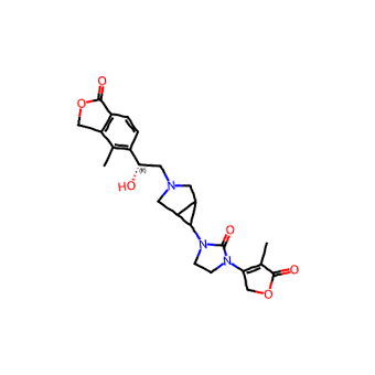 CC1=C(N2CCN(C3C4CN(C[C@H](O)c5ccc6c(c5C)COC6=O)CC43)C2=O)COC1=O